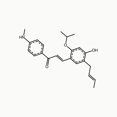 CC=CCc1cc(C=CC(=O)c2ccc(NC)cc2)c(OC(C)C)cc1O